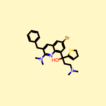 CN(C)CCC(O)(C1=CCCS1)c1cc(Br)cc2cc(Cc3ccccc3)c(N(C)C)nc12